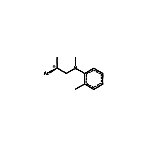 CC(=O)[C@@H](C)CN(C)c1ccccc1C